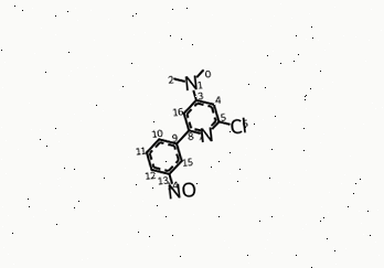 CN(C)c1cc(Cl)nc(-c2cccc(N=O)c2)c1